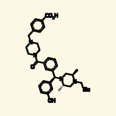 CCC(C)CN1C[C@H](C)N([C@@H](c2cccc(O)c2)c2cccc(C(=O)N3CCN(Cc4ccc(C(=O)O)cc4)CC3)c2)C[C@H]1C